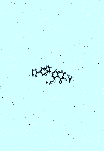 COc1cc(-c2cnc3cc(N4CCCC4)ccn23)cc2c1C(=O)N(CC(F)(F)F)CC2